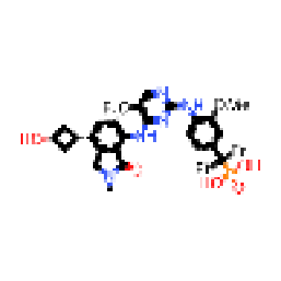 CCC(CC)(c1ccc(Nc2ncc(C(F)(F)F)c(Nc3ccc([C@H]4C[C@H](O)C4)c4c3C(=O)N(C)C4)n2)c(OC)c1)P(=O)(O)O